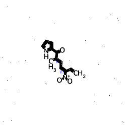 C=C/C(=C\C=C(/C)C(=O)c1ccc[nH]1)[N+](=O)[O-]